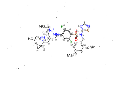 COc1ccc(CN(c2ncns2)S(=O)(=O)c2cc(F)c(NC[C@H](CC(NC(=O)O)C3(C)CC3)[C@@H](C)NC(=O)O)cc2F)c(OC)c1